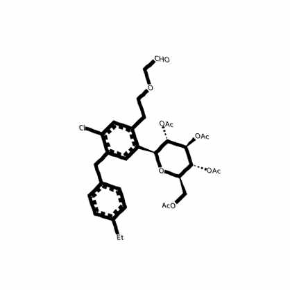 CCc1ccc(Cc2cc([C@@H]3O[C@H](COC(C)=O)[C@@H](OC(C)=O)[C@H](OC(C)=O)[C@H]3OC(C)=O)c(CCOCC=O)cc2Cl)cc1